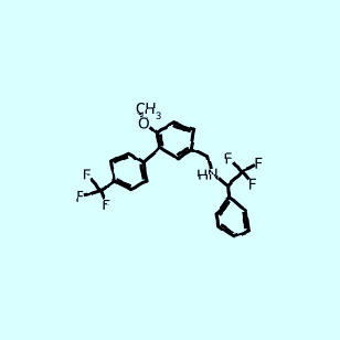 COc1ccc(CNC(c2ccccc2)C(F)(F)F)cc1-c1ccc(C(F)(F)F)cc1